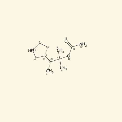 C[C@H]([C@H]1CCNC1)C(C)(C)OC(N)=O